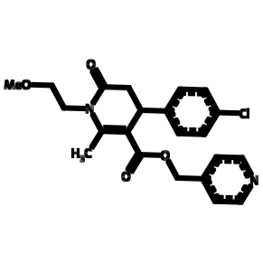 COCCN1C(=O)CC(c2ccc(Cl)cc2)C(C(=O)OCc2ccncc2)=C1C